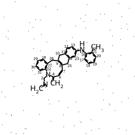 C=NCN1C(=C)/C=C\C2=C(Cc3ccc(Nc4ccccc4C)cc3C2)Cc2ccccc21